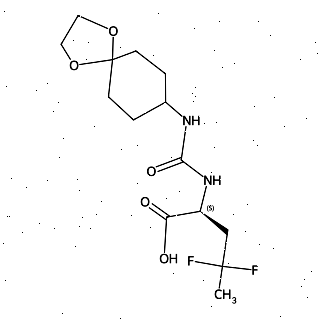 CC(F)(F)C[C@H](NC(=O)NC1CCC2(CC1)OCCO2)C(=O)O